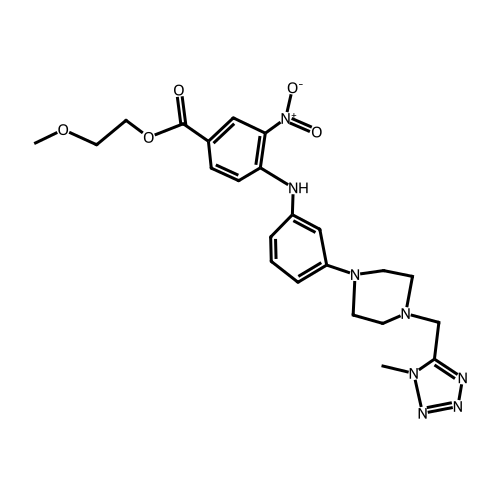 COCCOC(=O)c1ccc(Nc2cccc(N3CCN(Cc4nnnn4C)CC3)c2)c([N+](=O)[O-])c1